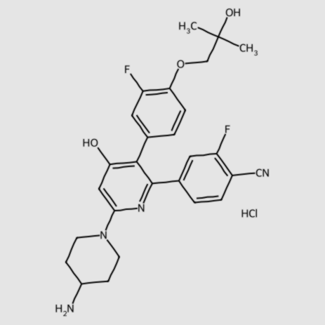 CC(C)(O)COc1ccc(-c2c(O)cc(N3CCC(N)CC3)nc2-c2ccc(C#N)c(F)c2)cc1F.Cl